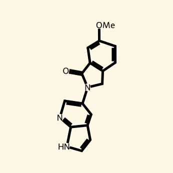 COc1ccc2c(c1)C(=O)N(c1cnc3[nH]ccc3c1)C2